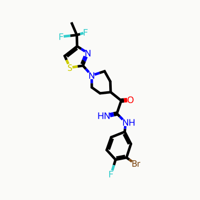 CC(F)(F)c1csc(N2CCC(C(=O)C(=N)Nc3ccc(F)c(Br)c3)CC2)n1